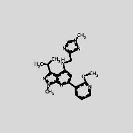 COc1ncccc1-c1cc(NCc2ncn(C)n2)c2c(C(C)C)nn(C)c2n1